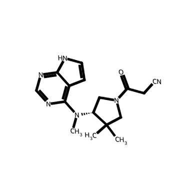 CN(c1ncnc2[nH]ccc12)[C@@H]1CN(C(=O)CC#N)CC1(C)C